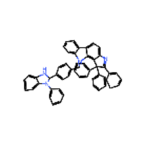 C1=CCCC(C2=Nc3ccc4c5ccccc5n(Cc5ccc(C6Nc7ccccc7N6c6ccccc6)cc5)c4c3C2(c2ccccc2)c2ccccc2)=C1